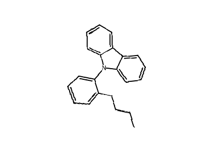 CCCCc1ccccc1-n1c2ccccc2c2ccccc21